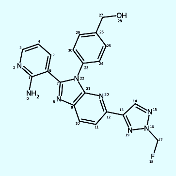 Nc1ncccc1-c1nc2ccc(-c3cnn(CF)n3)nc2n1-c1ccc(CO)cc1